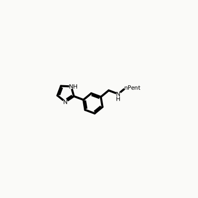 CCCCCNCc1cccc(-c2ncc[nH]2)c1